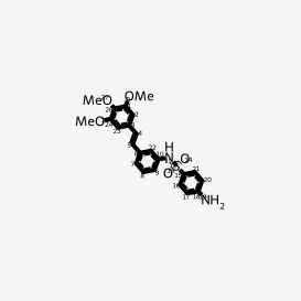 COc1cc(C=Cc2cccc(NS(=O)(=O)c3ccc(N)cc3)c2)cc(OC)c1OC